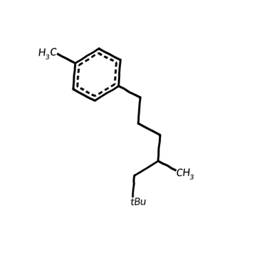 Cc1ccc(CCCC(C)CC(C)(C)C)cc1